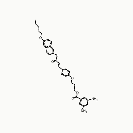 CCCCCOc1ccc2cc(OC(=O)C=Cc3ccc(OCCCOC(=O)c4cc(N)cc(N)c4)cc3)ccc2c1